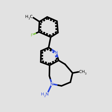 Cc1cccc(-c2ccc3c(n2)CC(C)CCN(N)C3)c1F